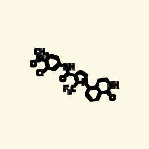 C[S+]([O-])c1ccc(NC(=O)c2ccn(-c3cccc4c(=O)[nH]ccc34)c2C(F)(F)F)cc1Cl